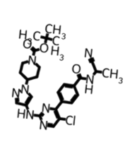 CC(C#N)NC(=O)c1ccc(-c2nc(Nc3cnn(C4CCN(C(=O)OC(C)(C)C)CC4)c3)ncc2Cl)cc1